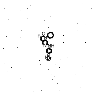 O=c1c(F)cc2cnc(Nc3ccc(-n4cccn4)cc3)cc2n1C1CCCCCC1